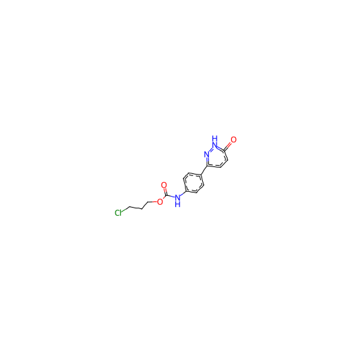 O=C(Nc1ccc(-c2ccc(=O)[nH]n2)cc1)OCCCCl